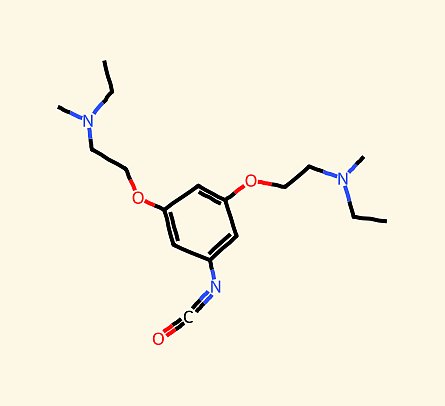 CCN(C)CCOc1cc(N=C=O)cc(OCCN(C)CC)c1